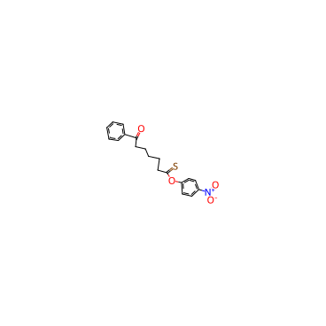 O=C(CCCCCC(=S)Oc1ccc([N+](=O)[O-])cc1)c1ccccc1